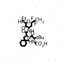 CCNC(=O)C(=O)C(CCC(C)(F)F)NC(=O)C1CC2(CCCCC2)CN1C(=O)C(NC(=O)O)C(C)(C)C